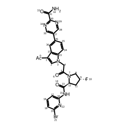 CC(=O)c1cn(CC(=O)N2C[C@H](F)C[C@H]2C(=O)Nc2cccc(Br)n2)c2ccc(-c3cnc(C(N)=O)nc3)cc12